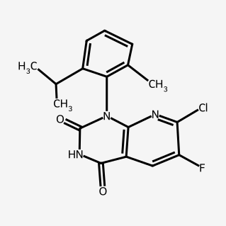 Cc1cccc(C(C)C)c1-n1c(=O)[nH]c(=O)c2cc(F)c(Cl)nc21